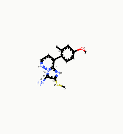 COc1ccc(-c2ccnn3c(N)c(SC)nc23)c(C)c1